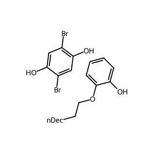 CCCCCCCCCCCCOc1ccccc1O.Oc1cc(Br)c(O)cc1Br